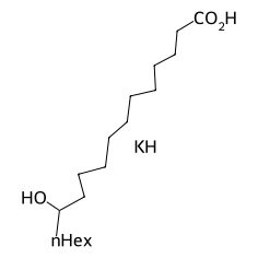 CCCCCCC(O)CCCCCCCCCCC(=O)O.[KH]